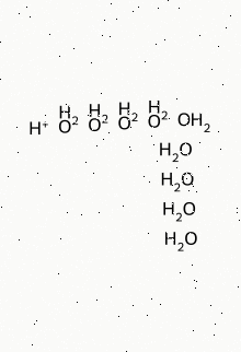 O.O.O.O.O.O.O.O.O.[H+]